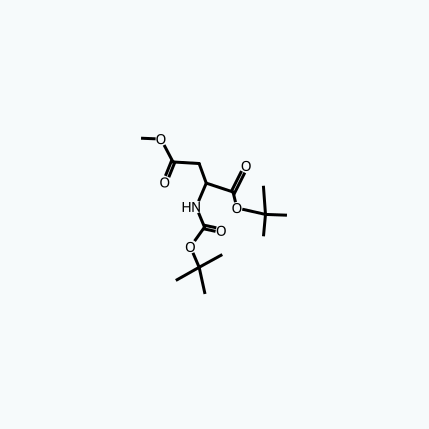 COC(=O)CC(NC(=O)OC(C)(C)C)C(=O)OC(C)(C)C